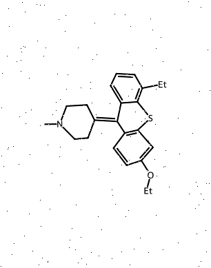 CCOc1ccc2c(c1)Sc1c(CC)cccc1C2=C1CCN(C)CC1